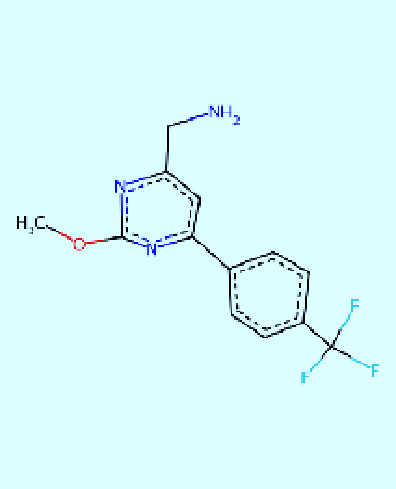 COc1nc(CN)cc(-c2ccc(C(F)(F)F)cc2)n1